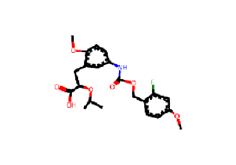 COc1ccc(COC(=O)Nc2ccc(OC)c(CC(OC(C)C)C(=O)O)c2)c(F)c1